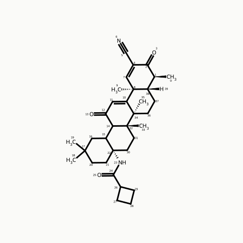 C[C@@H]1C(=O)C(C#N)=C[C@]2(C)C3=CC(=O)C4C5CC(C)(C)CC[C@]5(NC(=O)C5CCC5)CC[C@@]4(C)[C@]3(C)CC[C@@H]12